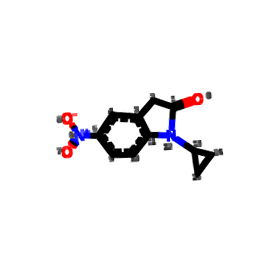 O=C1Cc2cc([N+](=O)[O-])ccc2N1C1CC1